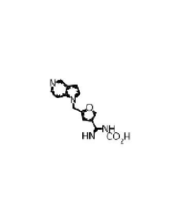 N=C(NC(=O)O)c1coc(Cn2ccc3cnccc32)c1